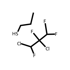 CCCS.FC(F)C(F)(Cl)C(F)Cl